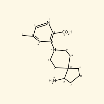 Cc1cnc(C(=O)O)c(N2CCC3(CCCC3N)CC2)n1